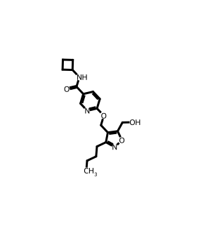 CCCCc1noc(CO)c1COc1ccc(C(=O)NC2CCC2)cn1